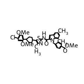 COC(=O)c1ccc(Cn2c(C(=O)Nc3nc(C)c(C4CCC(c5cc(OC)c(Cl)cc5OC)CC4)s3)cc3cc(C)cc(C)c32)cc1